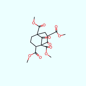 COC(=O)C1CC2(C(=O)OC)CCC(C(=O)OC)C(C(=O)OC)(C1=O)C2=O